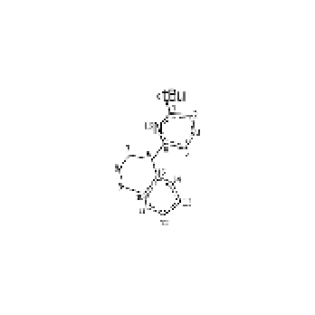 CC(C)(C)c1cccc(C2CCCc3ccccc32)n1